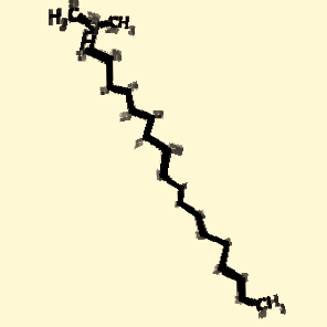 CCCCCCCCCCCCCCCCCC[SiH](C)C